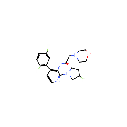 O=C(CN1CCOCC1)Nc1c(-c2cc(F)ccc2F)ccnc1N1CCC(F)C1